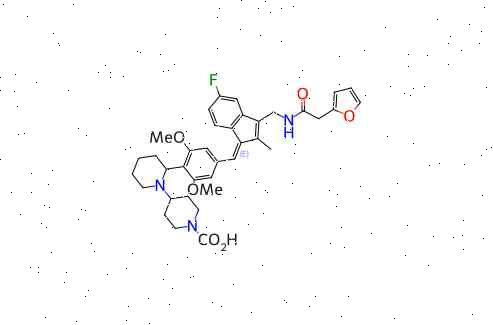 COc1cc(/C=C2/C(C)=C(CNC(=O)Cc3ccco3)c3cc(F)ccc32)cc(OC)c1C1CCCCN1C1CCN(C(=O)O)CC1